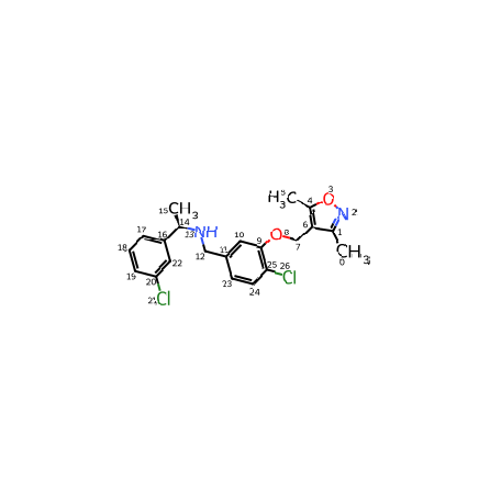 Cc1noc(C)c1COc1cc(CN[C@H](C)c2cccc(Cl)c2)ccc1Cl